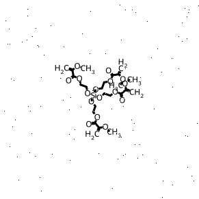 C=C(OC)C(=O)OCCO[Si](OCCOC(=O)C(=C)OC)(OCCOC(=O)C(=C)OC)OCCOC(=O)C(=C)OC